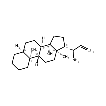 C=CC(N)[C@H]1CC[C@]2(O)[C@@H]3CC[C@@H]4CCCC[C@]4(C)[C@H]3CC[C@]12C